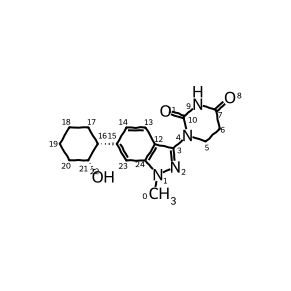 Cn1nc(N2CCC(=O)NC2=O)c2ccc([C@H]3CCCC[C@H]3O)cc21